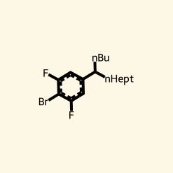 CCCCCCCC(CCCC)c1cc(F)c(Br)c(F)c1